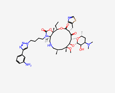 CC[C@H]1OC(=O)[C@H](Cc2cncs2)C(=O)[C@H](C)[C@@H](O[C@@H]2O[C@H](C)CC(N(C)C)C2O)[C@](C)(OC)C[C@@H](C)CN[C@H](C)[C@H]2N(CCCCn3cc(-c4cccc(N)c4)nn3)C(=O)O[C@]12C